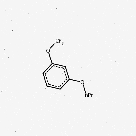 CCCOc1cccc(OC(F)(F)F)c1